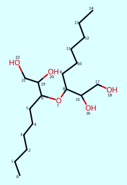 CCCCCCC(OC(CCCCCC)C(O)CO)C(O)CO